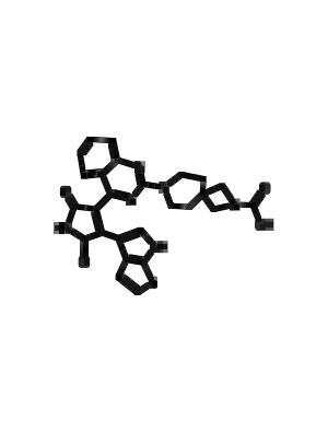 O=C1NC(=O)C(c2c[nH]c3sccc23)=C1c1nc(N2CCC3(CC2)CN(C(=O)O)C3)nc2ccccc12